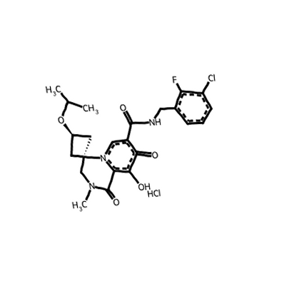 CC(C)O[C@H]1C[C@]2(CN(C)C(=O)c3c(O)c(=O)c(C(=O)NCc4cccc(Cl)c4F)cn32)C1.Cl